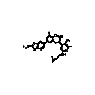 Cc1cc(-c2cnc3sc(N)nc3c2)cc2c1ONCC(c1nc(NCCN(C)C)nc(C)c1C(C)C)C2